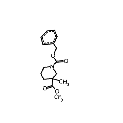 CC1(C(=O)OC(F)(F)F)CCCN(C(=O)OCc2ccccc2)C1